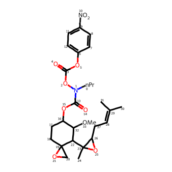 CCCN(OC(=O)Oc1ccc([N+](=O)[O-])cc1)C(=O)OC1CCC2(CO2)C(C2(C)OC2CC=C(C)C)C1OC